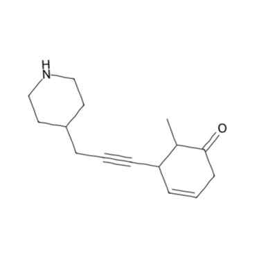 CC1C(=O)CC=CC1C#CCC1CCNCC1